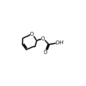 O=C(O)OC1CC=CCO1